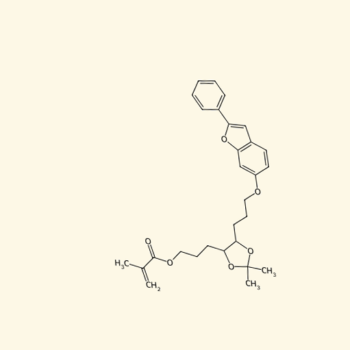 C=C(C)C(=O)OCCCC1OC(C)(C)OC1CCCOc1ccc2cc(-c3ccccc3)oc2c1